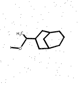 CC(OI)C1CC2CCCC(C2)C1